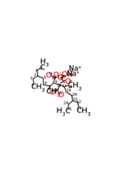 CCC(CC)CCC(C)C(C(=O)[O-])C(C(=O)[O-])(C(C)CCC(CC)CC)S(=O)(=O)O.[Na+].[Na+]